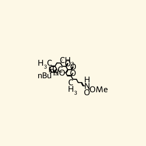 CCCCc1ccc(C[C@H](C)C(C)C(=O)c2c(O)cc(C(C)CC/C=C/NC(=O)OC)oc2=O)c(C)c1